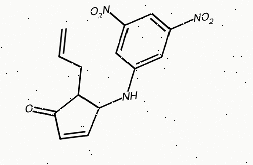 C=CCC1C(=O)C=CC1Nc1cc([N+](=O)[O-])cc([N+](=O)[O-])c1